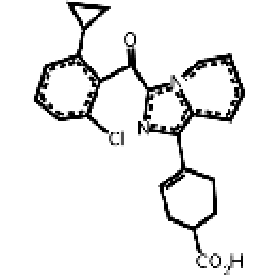 O=C(c1c(Cl)cccc1C1CC1)c1nc(C2=CCC(C(=O)O)CC2)c2ccccn12